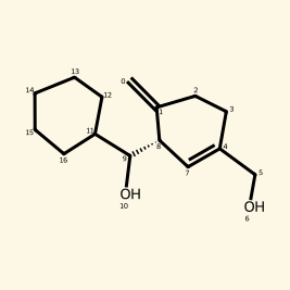 C=C1CCC(CO)=C[C@@H]1C(O)C1CCCCC1